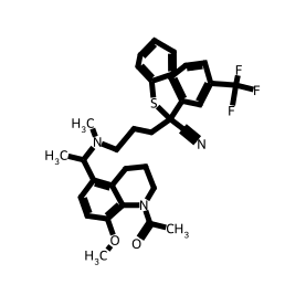 COc1ccc(C(C)N(C)CCCC(C#N)(Sc2ccccc2)c2cccc(C(F)(F)F)c2)c2c1N(C(C)=O)CCC2